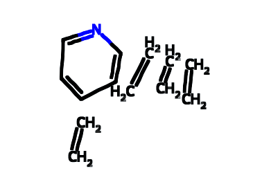 C=C.C=C.C=C.C=C.c1ccncc1